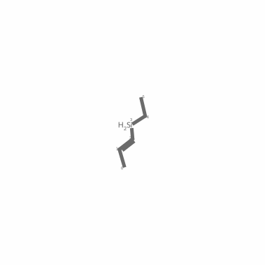 C/C=C/[SiH2]CC